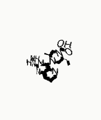 CC[C@@H]1CN(c2nc(NN)nc3cccnc23)[C@@H](C)CN1C(=O)O